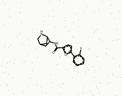 O=C(NC1CC2CNC1C2)c1ccc(-c2ccccc2F)o1